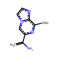 C=C(N)c1cn2ccnc2c(SC)n1